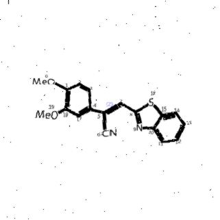 COc1ccc(/C(C#N)=C/c2nc3ccccc3s2)cc1OC